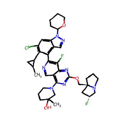 CC1CC1c1c(Cl)cc2c(cnn2C2CCCCO2)c1-c1ncc2c(N3CCCC(C)(O)C3)nc(OC[C@@]34CCCN3C[C@H](F)C4)nc2c1F